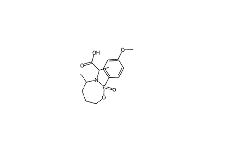 COc1ccc(P2(=O)OCCCC(C)N2C(C)C(=O)O)cc1